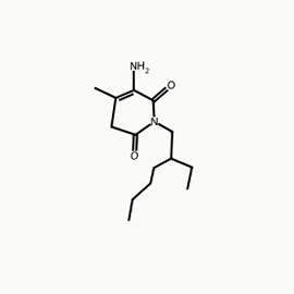 CCCCC(CC)CN1C(=O)CC(C)=C(N)C1=O